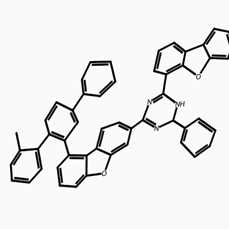 Cc1ccccc1-c1ccc(-c2ccccc2)cc1-c1cccc2oc3cc(C4=NC(c5ccccc5)NC(c5cccc6c5oc5ccccc56)=N4)ccc3c12